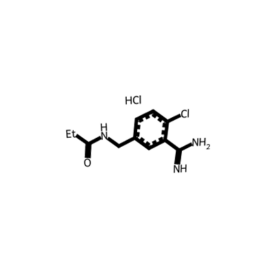 CCC(=O)NCc1ccc(Cl)c(C(=N)N)c1.Cl